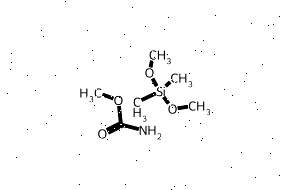 COC(N)=O.CO[Si](C)(C)OC